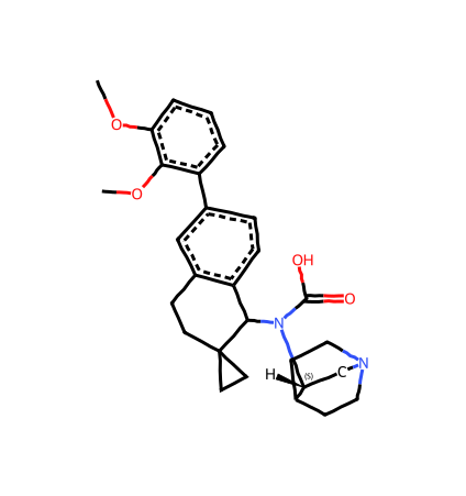 COc1cccc(-c2ccc3c(c2)CCC2(CC2)C3N(C(=O)O)[C@@H]2CN3CCC2CC3)c1OC